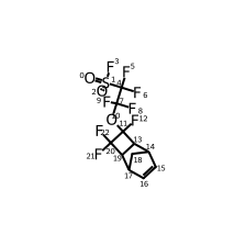 O=S(=O)(F)C(F)(F)C(F)(F)OC1(F)C2C3C=CC(C3)C2C1(F)F